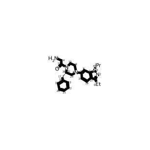 CCc1nn(C(C)C)c2cc(N3CCN(C(=O)CN)[C@@H](Cc4ccccc4)C3)ccc12